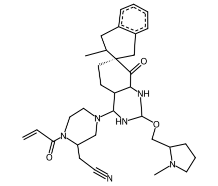 C=CC(=O)N1CCN(C2NC(OCC3CCCN3C)NC3C(=O)[C@]4(CCC32)Cc2ccccc2CC4C)CC1CC#N